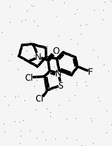 O=C(c1nsc(Cl)c1Cl)N1C2CCC1CC(c1ccc(F)cc1)C2